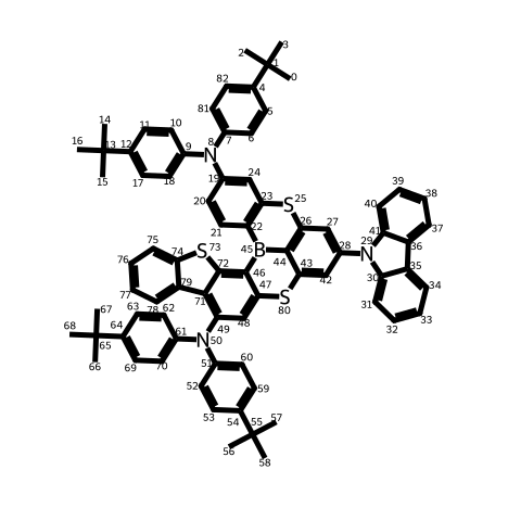 CC(C)(C)c1ccc(N(c2ccc(C(C)(C)C)cc2)c2ccc3c(c2)Sc2cc(-n4c5ccccc5c5ccccc54)cc4c2B3c2c(cc(N(c3ccc(C(C)(C)C)cc3)c3ccc(C(C)(C)C)cc3)c3c2sc2ccccc23)S4)cc1